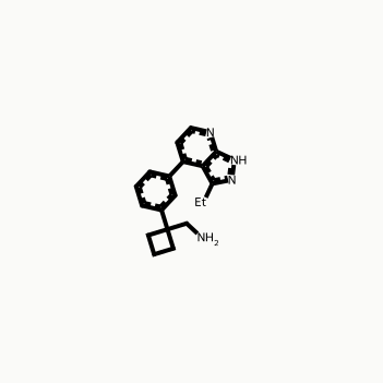 CCc1n[nH]c2nccc(-c3cccc(C4(CN)CCC4)c3)c12